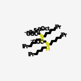 CC(C)CCCCC[SH](CCCCCC(C)C)CC(=O)[O-].CC(C)CCCCC[SH](CCCCCC(C)C)CC(=O)[O-].CCCCCCC[CH2][Sn+2][CH2]CCC